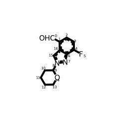 O=Cc1ccc(F)c2nn(C3CCCCO3)cc12